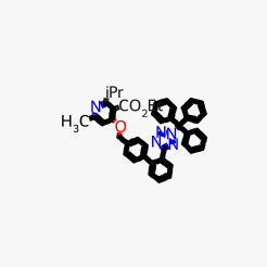 CCOC(=O)c1c(OCc2ccc(-c3ccccc3-c3nnn(C(c4ccccc4)(c4ccccc4)c4ccccc4)n3)cc2)cc(C)nc1C(C)C